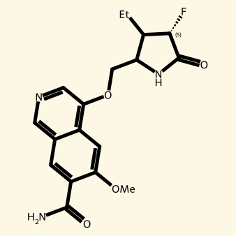 CCC1C(COc2cncc3cc(C(N)=O)c(OC)cc23)NC(=O)[C@H]1F